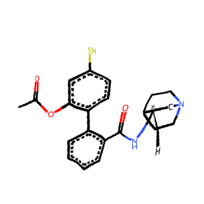 CC(=O)Oc1cc(S)ccc1-c1ccccc1C(=O)N[C@H]1CN2CCC1CC2